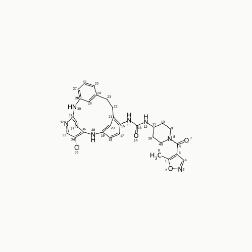 Cc1oncc1C(=O)N1CCC(NC(=O)Nc2ccc3cc2CCc2cccc(c2)Nc2ncc(Cl)c(n2)N3)CC1